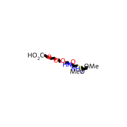 COC[C@H](CSC[C@H](N)C(=O)NCCOCCOCCOCCC(=O)O)OC